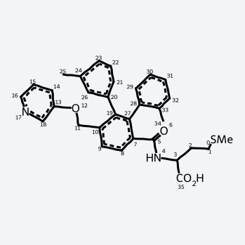 CSCCC(NC(=O)c1ccc(COc2cccnc2)c(-c2cccc(C)c2)c1-c1ccccc1C)C(=O)O